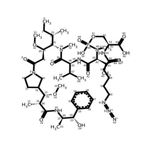 CC[C@H](C)[C@@H]([C@@H](CC(=O)N1CCC([C@H](OC)[C@@H](C)C(=O)N[C@H](C)[C@@H](O)c2ccccc2)C1)OC)N(C)C(=O)[C@@H](NC(=O)[C@H](C(C)C)N(C)P(=O)(O)OC[C@H](NC(=O)CCCCN=[N+]=[N-])C(=O)O)C(C)C